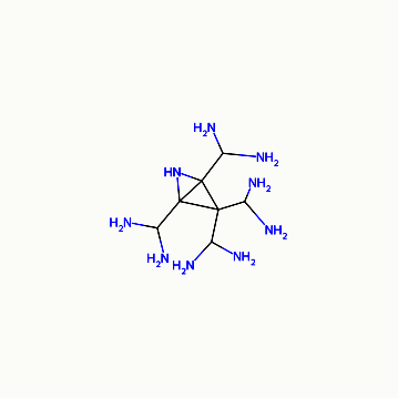 NC(N)C12NC1(C(N)N)C2(C(N)N)C(N)N